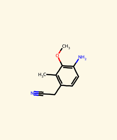 COc1c(N)ccc(CC#N)c1C